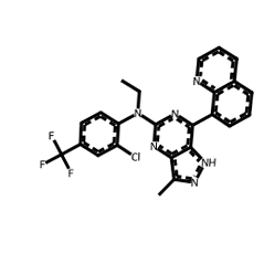 CCN(c1nc(-c2cccc3cccnc23)c2[nH]nc(C)c2n1)c1ccc(C(F)(F)F)cc1Cl